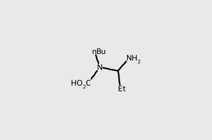 CCCCN(C(=O)O)C(N)CC